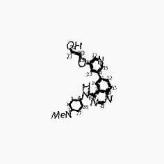 CNC1CCC(Nc2ncnc3ccc(-c4cncc(OCCO)c4)cc23)CC1